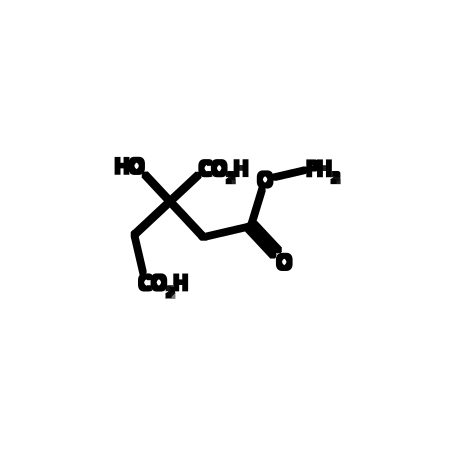 O=C(O)CC(O)(CC(=O)OP)C(=O)O